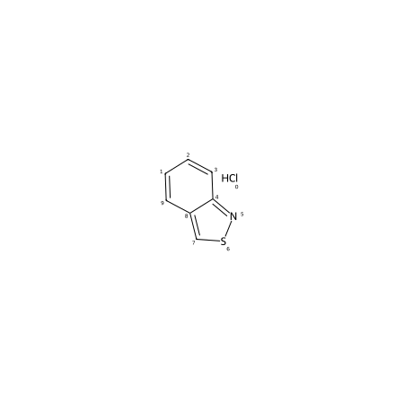 Cl.c1ccc2nscc2c1